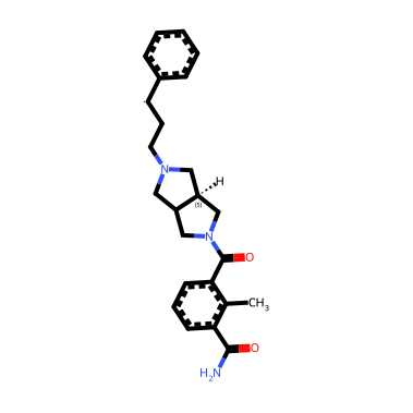 Cc1c(C(N)=O)cccc1C(=O)N1CC2CN(CC[CH]c3ccccc3)C[C@H]2C1